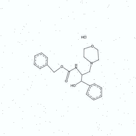 Cl.O=C(NC(CN1CCOCC1)C(O)c1ccccc1)OCc1ccccc1